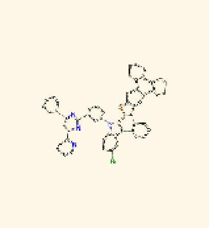 Brc1ccc2c(c1)c1c3ccccc3c3c4cc5c6ccccc6c6ccccc6c5cc4sc3c1n2-c1cccc(-c2nc(-c3ccccc3)cc(-c3ccccn3)n2)c1